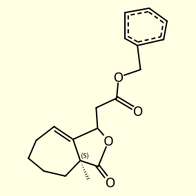 C[C@]12CCCCC=C1C(CC(=O)OCc1ccccc1)OC2=O